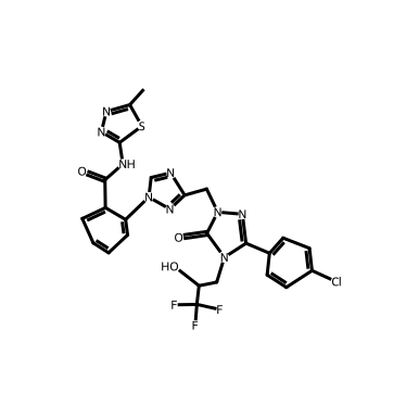 Cc1nnc(NC(=O)c2ccccc2-n2cnc(Cn3nc(-c4ccc(Cl)cc4)n(CC(O)C(F)(F)F)c3=O)n2)s1